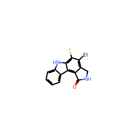 CCc1c2c(c3c([nH]c4ccccc43)c1F)C(=O)NC2